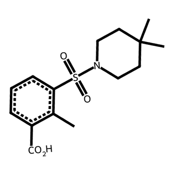 Cc1c(C(=O)O)cccc1S(=O)(=O)N1CCC(C)(C)CC1